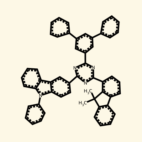 CC1(C)c2ccccc2-c2cccc(-c3nc(-c4cc(-c5ccccc5)cc(-c5ccccc5)c4)nc(-c4ccc5c(c4)c4ccccc4n5-c4ccccc4)n3)c21